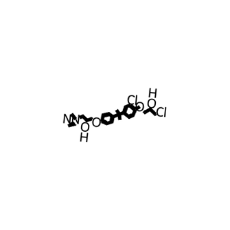 CC(C)(c1ccc(OC[C@@H](O)Cn2ccnc2)cc1)c1ccc(OC[C@H](O)CCl)c(Cl)c1